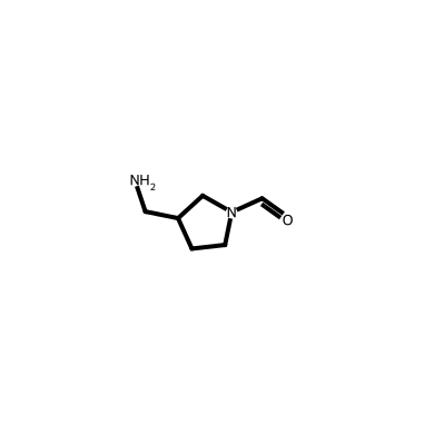 NCC1CCN(C=O)C1